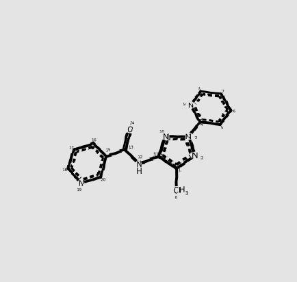 Cc1nn(-c2ccccn2)nc1NC(=O)c1cccnc1